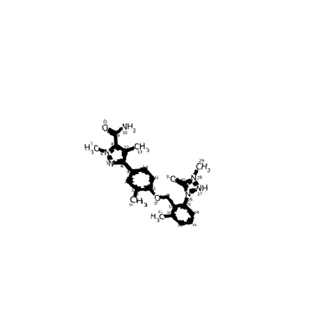 Cc1cc(-c2nn(C)c(C(N)=O)c2C)ccc1OCc1c(C)cccc1-n1[nH]n(C)c1=O